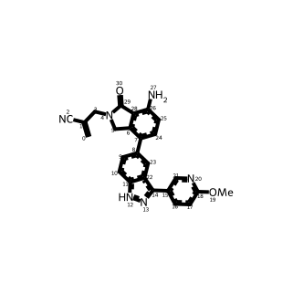 C=C(C#N)CN1Cc2c(-c3ccc4[nH]nc(-c5ccc(OC)nc5)c4c3)ccc(N)c2C1=O